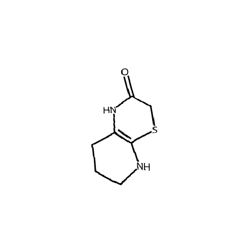 O=C1CSC2=C(CCCN2)N1